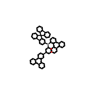 c1cc(-c2ccc3c4ccccc4c4ccccc4c3c2)cc(N(c2ccc3c(c2)C2(c4ccccc4-c4ccccc42)c2ccccc2-3)c2cccc3c4ccccc4c4ccccc4c23)c1